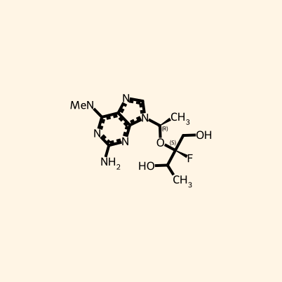 CNc1nc(N)nc2c1ncn2[C@@H](C)O[C@](F)(CO)C(C)O